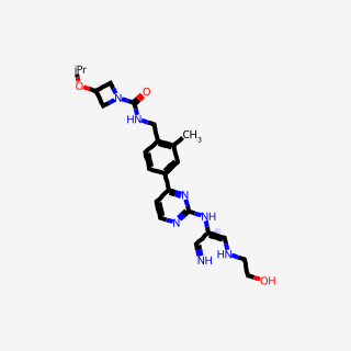 Cc1cc(-c2ccnc(N/C(C=N)=C/NCCO)n2)ccc1CNC(=O)N1CC(OC(C)C)C1